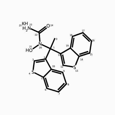 CC(c1csc2ccccc12)(c1csc2ccccc12)N(O)C(N)=O.[KH]